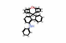 C1=CC(Nc2cccc3c2-c2ccccc2C32c3ccccc3Oc3ccccc32)=CCC1